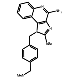 CCCCc1nc2c(N)nc3ccccc3c2n1Cc1ccc(CNC)cc1